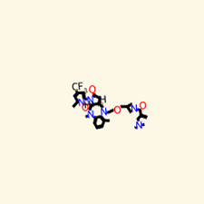 C=C(CN(C)C)C(=O)N1CC(COCCN2C[C@H]3CC(=O)N(c4cc(C(F)(F)F)cc(C)n4)[C@@H]3C(=O)N(C)c3cccc(C)c32)C1